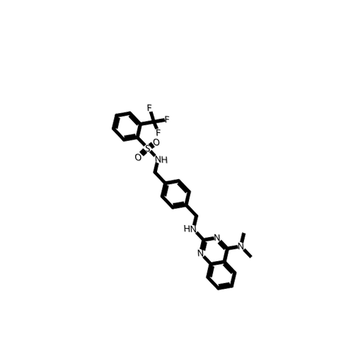 CN(C)c1nc(NCc2ccc(CNS(=O)(=O)c3ccccc3C(F)(F)F)cc2)nc2ccccc12